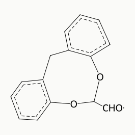 O=[C]C1Oc2ccccc2Cc2ccccc2O1